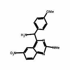 CNc1nc(C(N)c2ccc(OC)cc2)c2cc([N+](=O)[O-])ccc2n1